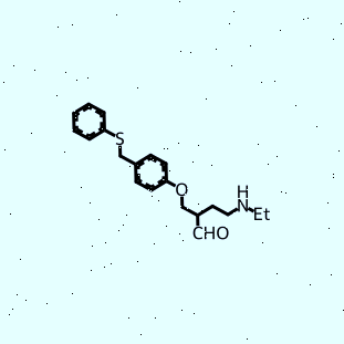 CCNCCC(C=O)COc1ccc(CSc2ccccc2)cc1